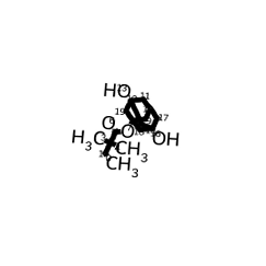 CCC(C)(C)C(=O)OC12CC3CC(O)(CC(O)(C3)C1)C2